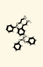 NCCOB(c1ccccc1)c1ccccc1CCN.OB(Oc1ccccc1)Oc1ccccc1